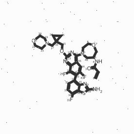 C=CC(=O)N[C@H]1COCCN(c2nc(OCC3(CN4CCOCC4)CC3)nc3c(F)c(-c4ccc(F)c5sc(N)nc45)c(F)cc23)C1